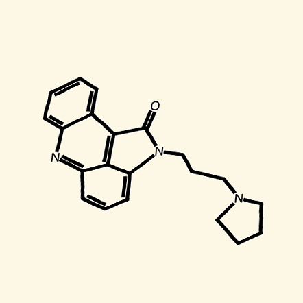 O=C1c2c3ccccc3nc3cccc(c23)N1CCCN1CCCC1